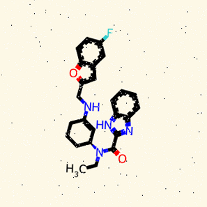 CCN(C(=O)c1nc2ccccc2[nH]1)[C@@H]1C=C(NCc2cc3cc(F)ccc3o2)CCC1